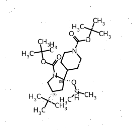 C[SiH](C)O[C@]1(C2CCN(C(=O)OC(C)(C)C)CC2)C[C@H](C(C)(C)C)CN1C(=O)OC(C)(C)C